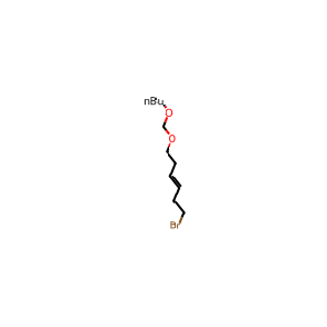 CCCCOCOCCC=CCCBr